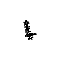 COC1(C2(O)CCC(N3CCN(c4ccccn4)CC3)CC2)C=CC=CC1